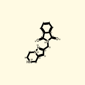 O=C1c2ccccc2C(=O)N1Cc1cc2n(n1)CCNC2